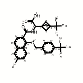 O=C(NC(C(=O)O)C12CC(C(F)(F)F)(C1)C2)c1ccc2cc(F)ccc2c1OCc1ccc(C(F)(F)F)cc1